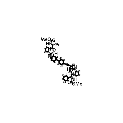 COC(=O)N[C@H](C(=O)N1CCC[C@H]1c1nc2ccc(-c3ccc(C#Cc4cnc([C@@H]5CCCN5C(=O)[C@H](NC(=O)OC)c5ccccc5)[nH]4)cc3)cc2[nH]1)C(C)C